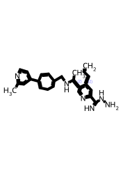 C=C/C=c1/cc(C(=N)NN)nc/c1=C(/C)NCC1=CCC=C(c2ccnc(C)c2)C=C1